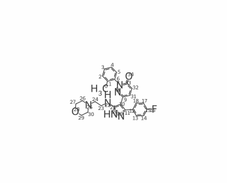 Cc1ccccc1-n1nc(-c2c(-c3ccc(F)cc3)n[nH]c2NCCN2CCOCC2)ccc1=O